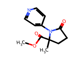 COC(=O)C1(C)CCC(=O)N1c1ccncc1